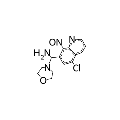 NC(c1cc(Cl)c2cccnc2c1N=O)N1CCOCC1